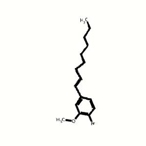 CCCCCCCCCc1ccc(Br)c(OC)c1